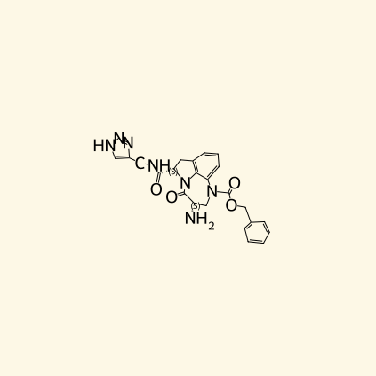 N[C@H]1CN(C(=O)OCc2ccccc2)c2cccc3c2N(C1=O)[C@H](C(=O)NCc1c[nH]nn1)C3